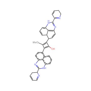 COC1=C(C2C=CC3=C4C(=CC=CC42)NC(C2=NCCC=C2)=N3)C(O)=C1c1ccc2c3c(cccc13)NC(C1CC=CC=N1)=N2